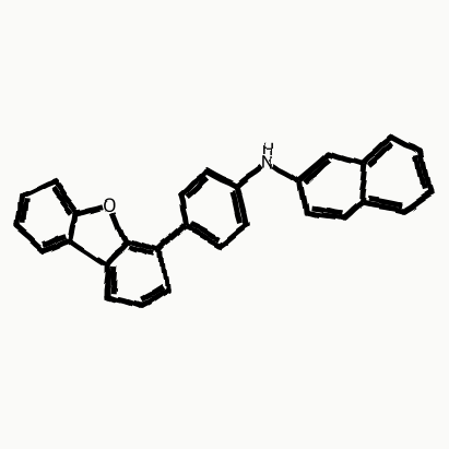 c1ccc2cc(Nc3ccc(-c4cccc5c4oc4ccccc45)cc3)ccc2c1